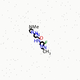 CN[C@@H]1CCN(c2ccc(C(=O)Nc3cc(F)c4nc(C)cn4c3)nn2)C1